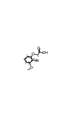 COc1cccc(OCC(=O)O)c1Br